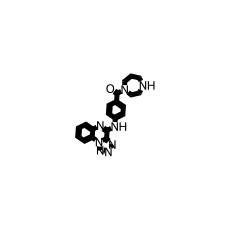 O=C(c1ccc(Nc2nc3ccccc3n3nnnc23)cc1)N1CCCNCC1